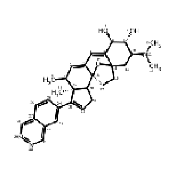 CC1C=C2C=C3[C@@H](O)[C@H](O)[C@@H](N(C)C)C[C@]34CC[C@]2(O4)C2CC=C(c3ccc4cnncc4c3)[C@@]12C